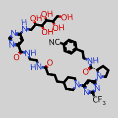 N#Cc1ccc(CCNC(=O)[C@@H]2CCCN2c2cc(N3CCC(CCCC(=O)NCCNC(=O)c4cc(NCC(O)C(O)C(O)C(O)CO)ncn4)CC3)nc(C(F)(F)F)n2)cc1